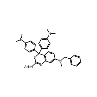 CC(=O)NC1=Nc2cc(N(C)Cc3ccccc3)ccc2C(c2ccc(N(C)C)cc2)(c2ccc(N(C)C)cc2)S1